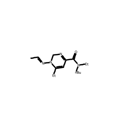 C/C=N/N1CN=C(C(=O)N(CC)CCCC)C=C1CC